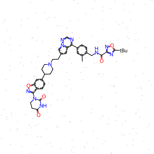 Cc1cc(-c2ncnn3cc(CCN4CCC(c5ccc6c(N7CCC(=O)NC7=O)noc6c5)CC4)cc23)ccc1CNC(=O)c1noc(C(C)(C)C)n1